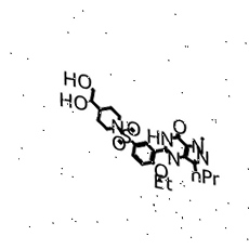 CCCc1nn(C)c2c(=O)[nH]c(-c3cc(S(=O)(=O)N4CCC([C@H](O)CO)CC4)ccc3OCC)nc12